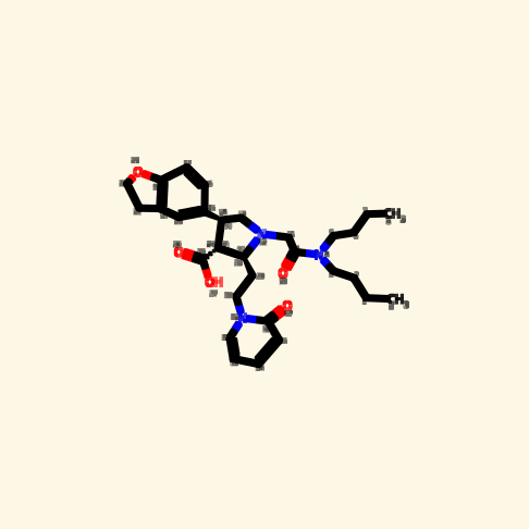 CCCCN(CCCC)C(=O)CN1C[C@H](c2ccc3c(c2)CCO3)[C@@H](C(=O)O)[C@@H]1CCn1ccccc1=O